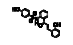 O=C(C=Cc1ccccc1O)c1ccccc1NS(=O)(=O)c1ccc(O)cc1